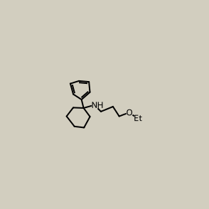 CCOCCCNC1(c2ccccc2)CCCCC1